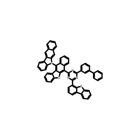 c1ccc(-c2cccc(-c3nc(-c4c5ccccc5c(-n5c6ccccc6c6cc7ccccc7cc65)c5c4oc4ccccc45)nc(-c4cccc5c4sc4ccccc45)n3)c2)cc1